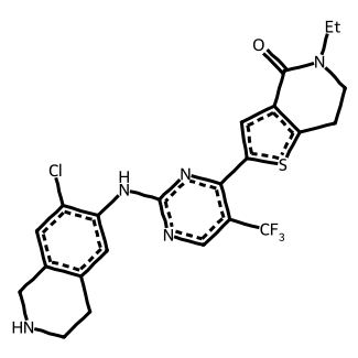 CCN1CCc2sc(-c3nc(Nc4cc5c(cc4Cl)CNCC5)ncc3C(F)(F)F)cc2C1=O